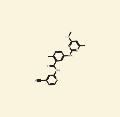 CNc1cc(C)nc(Nc2ccc(C)c(C(=O)Nc3cc(C#N)ccn3)c2)n1